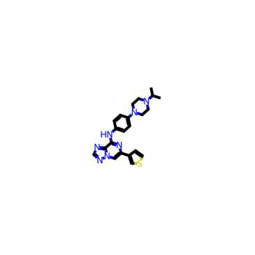 CC(C)N1CCN(c2ccc(Nc3nc(-c4ccsc4)cn4ncnc34)cc2)CC1